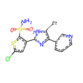 CCc1[nH]c(-c2cc(Cl)sc2S(N)(=O)=O)nc1-c1cccnc1